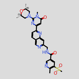 Cc1ncc(C(=O)NCc2cc3nc(-c4cc(=O)n(C)c(N5C[C@@H](C)O[C@@H](C)C5)n4)ccc3cn2)cc1S(C)(=O)=O